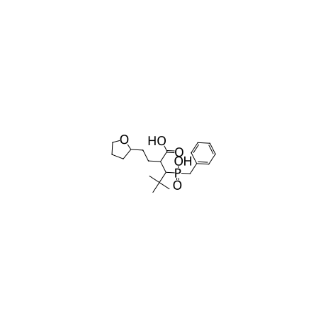 CC(C)(C)C(C(CCC1CCCO1)C(=O)O)P(=O)(O)Cc1ccccc1